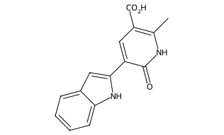 Cc1[nH]c(=O)c(-c2cc3ccccc3[nH]2)cc1C(=O)O